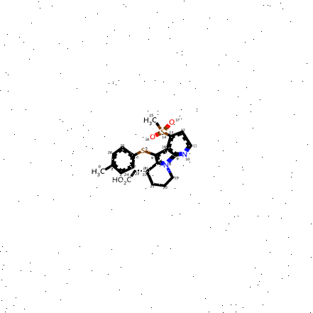 Cc1ccc(Sc2c3n(c4nccc(S(C)(=O)=O)c24)CCC[C@@H]3CC(=O)O)cc1